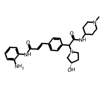 CN1CCC(NC(=O)C(c2ccc(/C=C/C(=O)Nc3ccccc3N)cc2)N2CC[C@H](O)C2)CC1